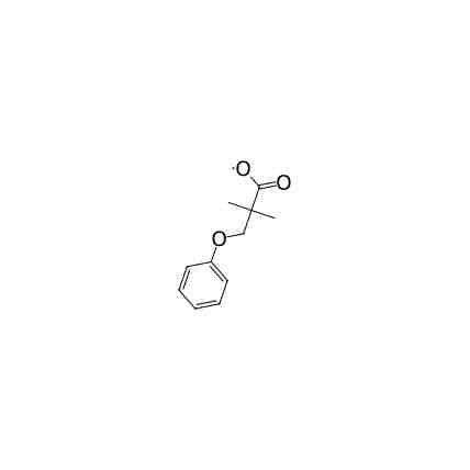 CC(C)(COc1ccccc1)C([O])=O